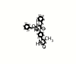 CC1CC(=O)NN=C1c1ccc(NC(=O)[C@H](Cc2ccccc2)NC(=O)OCc2ccccc2)cc1